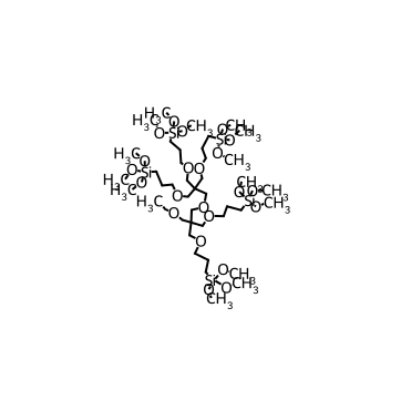 CCOCC(COCCC[Si](OC)(OC)OC)(COCCC[Si](OC)(OC)OC)COCC(COCCC[Si](OC)(OC)OC)(COCCC[Si](OC)(OC)OC)COCCC[Si](OC)(OC)OC